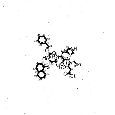 CCC(=O)C[C@H](O)[C@H](CC(C)C)NC(=O)[C@H](Cc1c[nH]cn1)NC(=O)[C@H](Cc1cccc2ccccc12)NC(=O)OCc1ccccc1